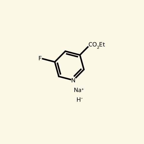 CCOC(=O)c1cncc(F)c1.[H-].[Na+]